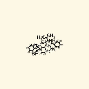 COC(=O)[C@@H](Nc1nc(CN2CCN(S(=O)(=O)c3ccccc3Br)CC2)nc2ccccc12)C(C)C